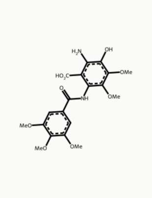 COc1cc(C(=O)Nc2c(OC)c(OC)c(O)c(N)c2C(=O)O)cc(OC)c1OC